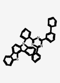 c1ccc(-c2cccc(-c3nc(-c4ccccc4)nc(-c4ccccc4-n4c5ccccc5c5c6sc7ccccc7c6ccc54)n3)c2)cc1